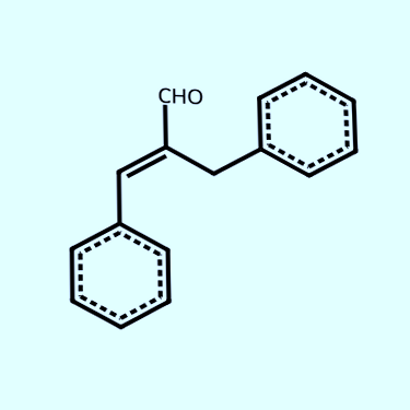 O=C/C(=C/c1ccccc1)Cc1ccccc1